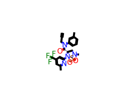 C#CCN(C(=O)[C@@H]1CN(C)S(=O)(=O)N1c1cc(C(F)(F)F)cc(C)n1)c1cccc(C)c1